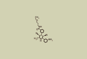 CCOCCCNC(=O)c1cccc(C2C(C#N)=C(C)NC(c3cccc(N)c3)=C2C#N)c1